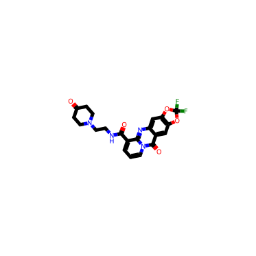 O=C1CCN(CCNC(=O)c2cccn3c(=O)c4cc5c(cc4nc23)OC(F)(F)O5)CC1